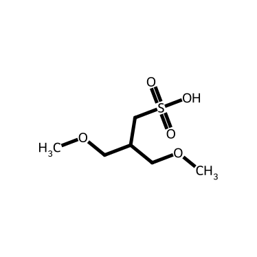 COCC(COC)CS(=O)(=O)O